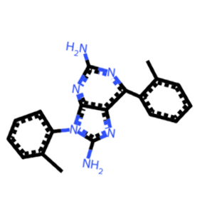 Cc1ccccc1-c1nc(N)nc2c1nc(N)n2-c1ccccc1C